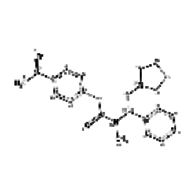 CC(C)[C@H](C)c1ccc(CC(=O)N(C)[C@H](CN2CCCC2)c2ccccc2)cc1